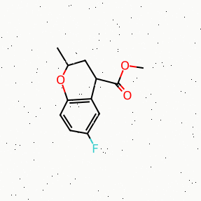 COC(=O)C1CC(C)Oc2ccc(F)cc21